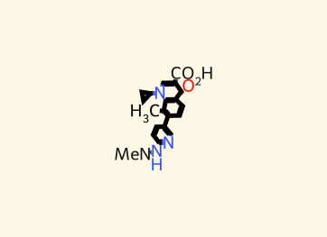 CNNc1ccc(-c2ccc3c(=O)c(C(=O)O)cn(C4CC4)c3c2C)cn1